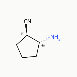 N#C[C@@H]1CCC[C@H]1N